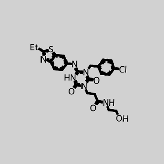 CCc1nc2ccc(/N=c3\[nH]c(=O)n(CCC(=O)NCCO)c(=O)n3Cc3ccc(Cl)cc3)cc2s1